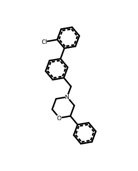 Clc1ccccc1-c1cccc(CN2CCOC(c3ccccc3)C2)c1